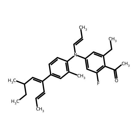 C/C=C/C(=C\C(C)CC)c1ccc(N(/C=C/C)c2cc(F)c(C(C)=O)c(CC)c2)c(C)c1